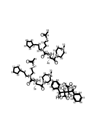 CC(=O)SCCN(CCC1CCCC1)C(=O)N[C@@H](C)C(=O)N1CCN(C)CC1.CC(=O)SCCN(CCC1CCCC1)C(=O)N[C@@H](C)C(=O)N1CCN(C)CC1.O=C(O)C(O)(C(=O)c1ccccc1)C(O)(C(=O)O)C(=O)c1ccccc1